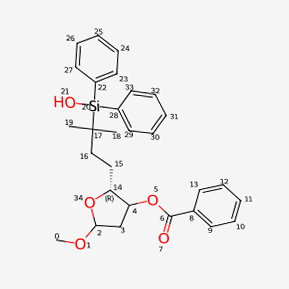 COC1CC(OC(=O)c2ccccc2)[C@@H](CCC(C)(C)[Si](O)(c2ccccc2)c2ccccc2)O1